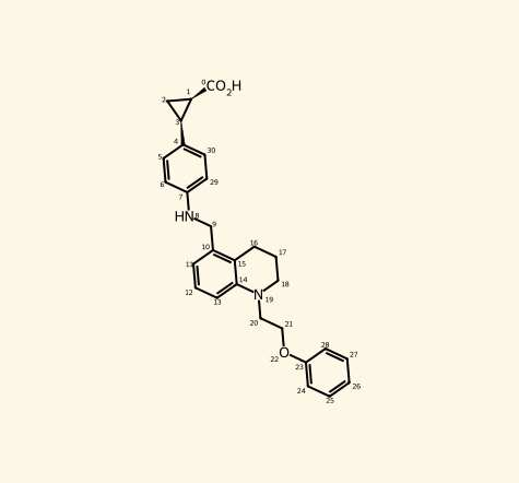 O=C(O)[C@@H]1C[C@@H]1c1ccc(NCc2cccc3c2CCCN3CCOc2ccccc2)cc1